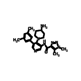 Cc1cc(C)cc(-c2cncc(NC(=O)c3nnn(C)c3C)c2N2CCC(N)CC2)c1